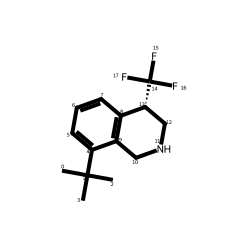 CC(C)(C)c1cccc2c1CNC[C@H]2C(F)(F)F